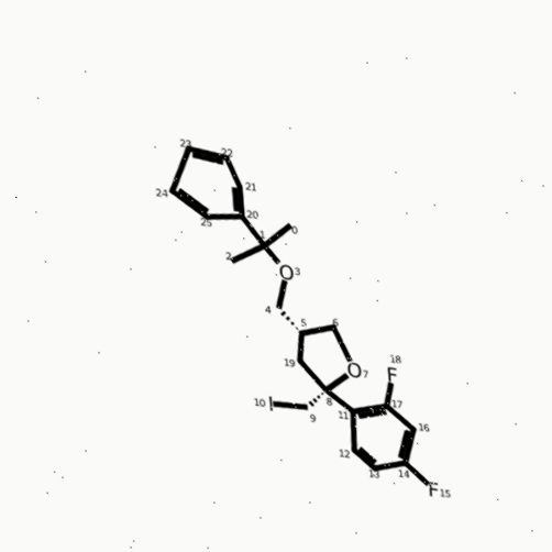 CC(C)(OC[C@@H]1CO[C@@](CI)(c2ccc(F)cc2F)C1)c1ccccc1